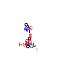 Cc1cccc(C(=O)O)c1NCS(=O)(=O)c1ccc(OCCCCNC(=O)c2cc3ccccc3o2)cc1